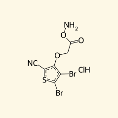 Cl.N#Cc1sc(Br)c(Br)c1OCC(=O)ON